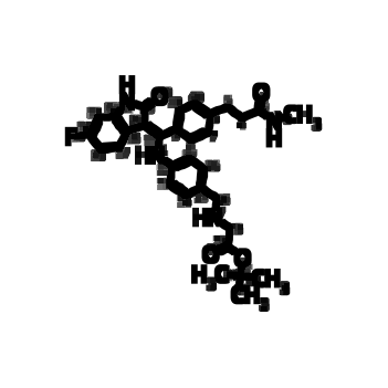 CNC(=O)CCc1ccc(C(Nc2ccc(CNCC(=O)OC(C)(C)C)cc2)=C2C(=O)Nc3cc(F)ccc32)cc1